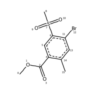 COC(=O)c1cc(S(C)(=O)=O)c(Br)cc1C